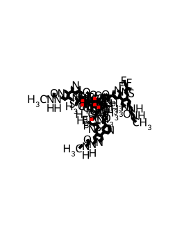 CCNC(=O)Nc1cc(-c2nc(C(F)(F)F)cs2)c(-c2cncc(-c3nn(C(OP(=O)(OC(n4nc(-c5cncc(-c6cnc(NC(=O)NCC)cc6-c6nc(C(F)(F)F)cs6)c5)oc4=O)(C(C)(C)C)C(C)(C)C)OC(n4nc(-c5cncc(-c6cnc(NC(=O)NCC)cc6-c6nc(C(F)(F)F)cs6)c5)oc4=O)(C(C)(C)C)C(C)(C)C)(C(C)(C)C)C(C)(C)C)c(=O)o3)c2)cn1